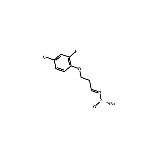 CC(C)(C)[S@+]([O-])N=CCCOc1ccc(Cl)cc1F